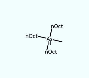 CCCCCCCC[AsH](C)(CCCCCCCC)CCCCCCCC